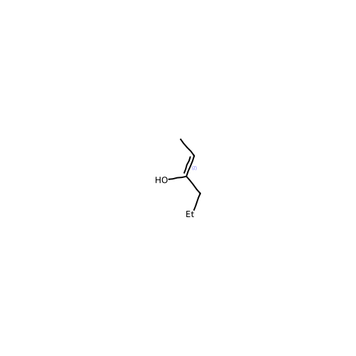 C/C=C(\O)CCC